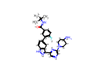 CC(C)(C)NC(=O)c1ccc(F)c(-c2ccc3[nH]nc(-c4cncc(N5CCC(N)CC5)n4)c3c2)c1